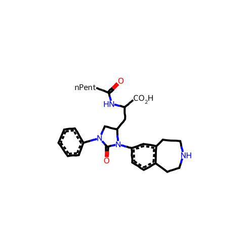 CCCCCC(=O)NC(CC1CN(c2ccccc2)C(=O)N1c1ccc2c(c1)CCNCC2)C(=O)O